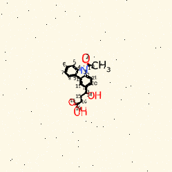 CC(=O)n1c2ccccc2c2cc(C(O)CCC(=O)O)ccc21